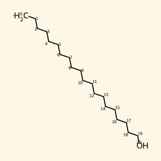 [CH2]CCCCCCCCCCCCCCCCCCCO